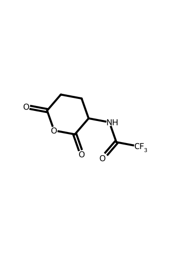 O=C1CCC(NC(=O)C(F)(F)F)C(=O)O1